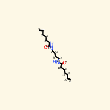 C=CCCCCC(=O)NCCCCNC(=O)CCCCC=C